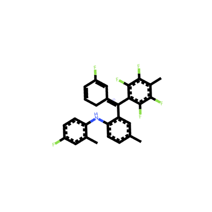 Cc1ccc(Nc2ccc(F)cc2C)c(/C(=C2/C=C(F)C=CC2)c2c(F)c(F)c(C)c(F)c2F)c1